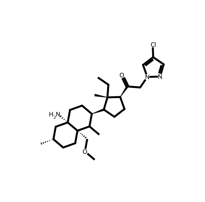 CC[C@@]1(C)C([C@@H]2CC[C@]3(N)C[C@@H](C)CC[C@]3(COC)C2C)CC[C@@H]1C(=O)Cn1cc(Cl)cn1